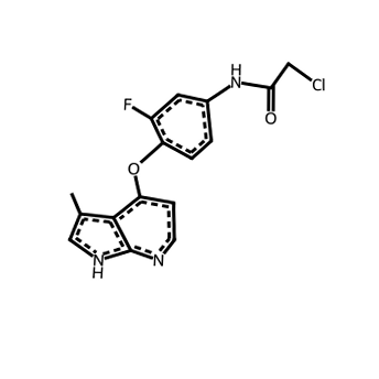 Cc1c[nH]c2nccc(Oc3ccc(NC(=O)CCl)cc3F)c12